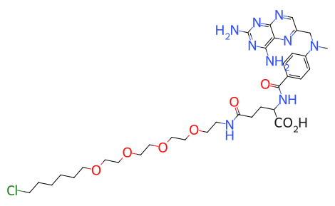 CN(Cc1cnc2nc(N)nc(N)c2n1)c1ccc(C(=O)NC(CCC(=O)NCCOCCOCCOCCOCCCCCCCl)C(=O)O)cc1